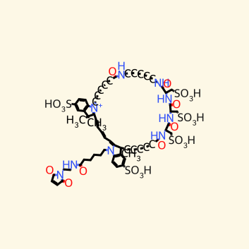 CC1(C)C2=[N+](CCCCCC(=O)NCCCCCNC(=O)C(CS(=O)(=O)O)NC(=O)C(CS(=O)(=O)O)NC(=O)C(CS(=O)(=O)O)NC(=O)CCCCCC3(C)/C(=C/C=C/C=C/2)N(CCCCCC(=O)NCCN2C(=O)C=CC2=O)c2ccc(S(=O)(=O)O)cc23)c2ccc(S(=O)(=O)O)cc21